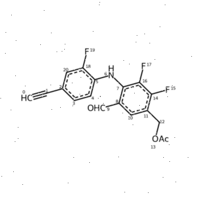 C#Cc1ccc(Nc2c(C=O)cc(COC(C)=O)c(F)c2F)c(F)c1